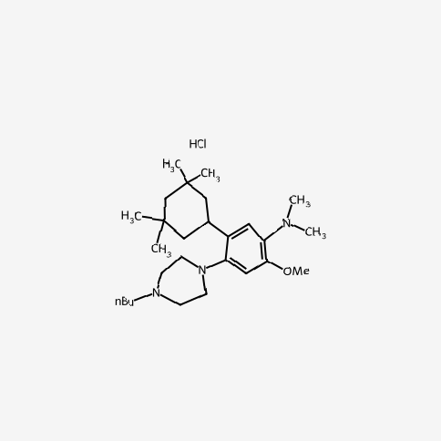 CCCCN1CCN(c2cc(OC)c(N(C)C)cc2C2CC(C)(C)CC(C)(C)C2)CC1.Cl